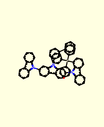 c1ccc(-c2cccc(-n3c4cc(-n5c6ccccc6c6ccccc65)ccc4c4ccc(-n5c6ccccc6c6cccc([Si](c7ccccc7)(c7ccccc7)c7ccccc7)c65)cc43)c2)cc1